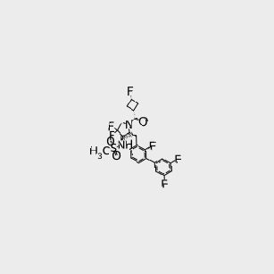 CS(=O)(=O)N[C@@H]1[C@H](Cc2cccc(-c3cc(F)cc(F)c3)c2F)N(C(=O)[C@H]2C[C@@H](F)C2)CC1(F)F